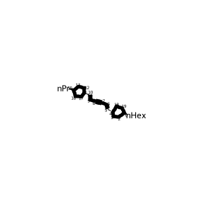 CCCCCC[C@H]1CC[C@H](/C=C/C#C/C=C/[C@H]2CC[C@H](CCC)CC2)CC1